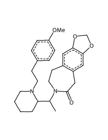 COc1ccc(CCN2CCCCC2C(C)N2CCc3cc4c(cc3CC2=O)OCO4)cc1